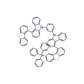 c1ccc([Si](c2ccccc2)(c2ccccc2)c2ccc3sc4cccc(-c5cccc6c5c5ccccc5n6-c5cccc(-n6c7ccccc7c7c(-c8cccc9sc%10ccccc%10c89)cccc76)c5)c4c3c2)cc1